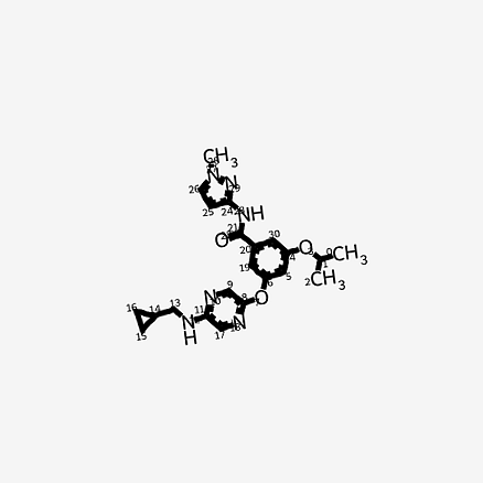 CC(C)Oc1cc(Oc2cnc(NCC3CC3)cn2)cc(C(=O)Nc2ccn(C)n2)c1